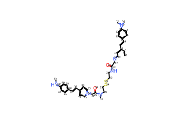 C=CC(/C=C/c1ccc(N(C)C)cc1)=C\C=N\CC(=O)NCCSSCCN(C)C(=O)C[n+]1ccc(/C=C/c2ccc(NC)cc2)cc1